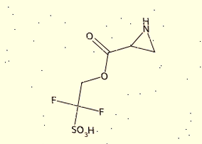 O=C(OCC(F)(F)S(=O)(=O)O)C1CN1